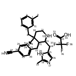 Cc1cccc(CC2(C#N)CCNC(Cc3cnc(C)[nH]3)C2Cc2ccc(C#N)cc2)c1.O=C(O)C(F)(F)F